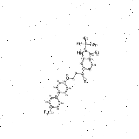 CC[C]C(CC)(CC)c1[nH]c2cc(C(=O)CCOc3ccc(-c4ccc(C(F)(F)F)cc4)cc3)ccc2c1CC